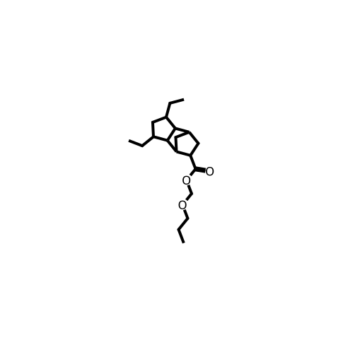 CCCOCOC(=O)C1CC2CC1C1C(CC)CC(CC)C21